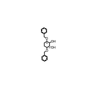 OC1[C@H](O)C(OCc2ccccc2)CC[C@H]1OCc1ccccc1